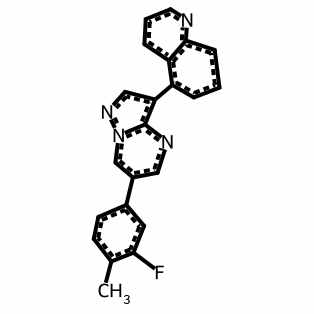 Cc1ccc(-c2cnc3c(-c4cccc5ncccc45)cnn3c2)cc1F